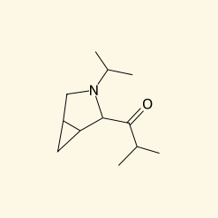 CC(C)C(=O)C1C2CC2CN1C(C)C